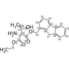 CCOC(=O)[C@](N)(C(=O)OCc1cccc2c1Cc1ccccc1-2)[C@@H](C)O